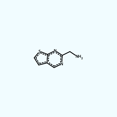 NCc1ncc2ccsc2n1